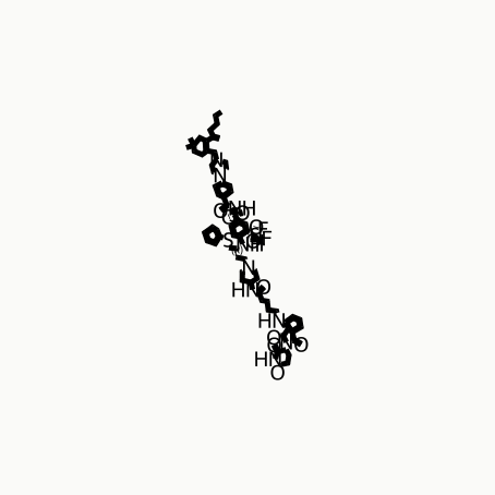 C=C(CCCC)C1=C(CN2CCN(c3ccc(C(=O)NS(=O)(=O)c4ccc(N[C@H](CCN5CCC(NC(=O)CCCCNc6cccc7c6C(=O)N(C6CCC(=O)NC6=O)C7=O)CC5)CSc5ccccc5)c(S(=O)(=O)C(F)(F)F)c4)cc3)CC2)CCC(C)(C)C1